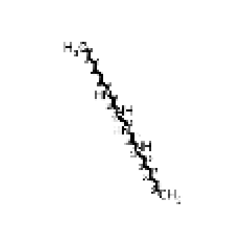 CCCCCCCCNCCNCCNCCNCCCCCCCC